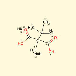 CC(C)(C)C(C)(C(=O)O)C(=O)O.[KH].[NaH]